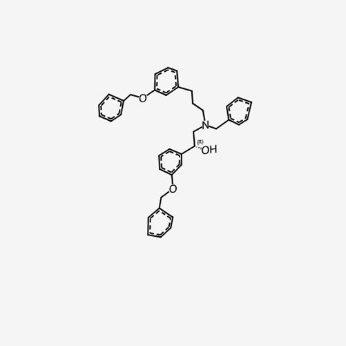 O[C@@H](CN(CCCc1cccc(OCc2ccccc2)c1)Cc1ccccc1)c1cccc(OCc2ccccc2)c1